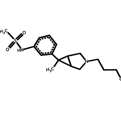 CC1(c2cccc(NS(C)(=O)=O)c2)C2CN(CCCO)CC21